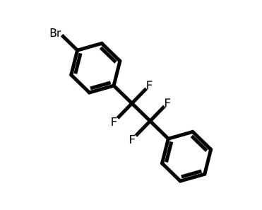 FC(F)(c1ccccc1)C(F)(F)c1ccc(Br)cc1